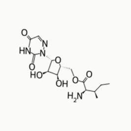 CC[C@@H](C)[C@@H](N)C(=O)OC[C@H]1O[C@@H](n2ncc(=O)[nH]c2=O)[C@H](O)[C@@H]1O